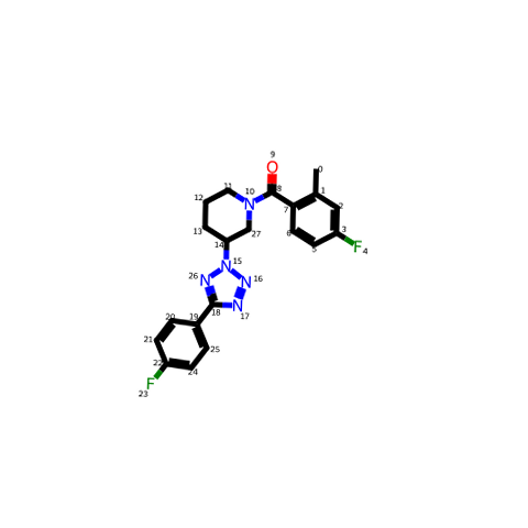 Cc1cc(F)ccc1C(=O)N1CCCC(n2nnc(-c3ccc(F)cc3)n2)C1